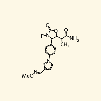 CON=Cc1ccn(-c2ccc(C3C(C(C)C(N)=O)OC(=O)N3F)cc2)c1